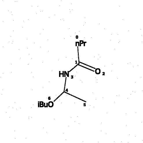 CCCC(=O)NC(C)OCC(C)C